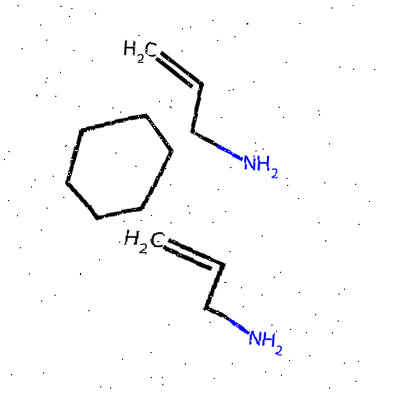 C1CCCCC1.C=CCN.C=CCN